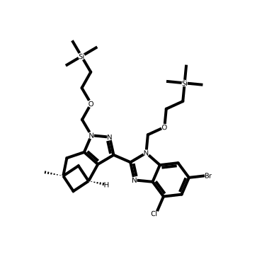 C[Si](C)(C)CCOCn1nc(-c2nc3c(Cl)cc(Br)cc3n2COCC[Si](C)(C)C)c2c1C[C@]1(C)C[C@H]2C1